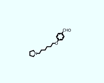 O=Cc1ccc(OCCCCCCN2CCCC2)cc1